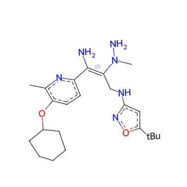 Cc1nc(/C(N)=C(\CNc2cc(C(C)(C)C)on2)N(C)N)ccc1OC1CCCCC1